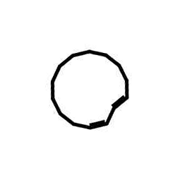 C1=C\CCCCCCCCCC/C=C/1